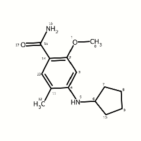 COc1cc(NC2CCCC2)c(C)cc1C(N)=O